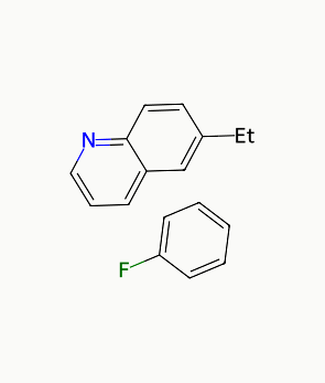 CCc1ccc2ncccc2c1.Fc1ccccc1